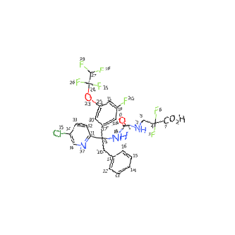 O=C(NCC(F)(F)C(=O)O)NC(Cc1ccccc1)(c1cc(F)cc(OC(F)(F)C(F)F)c1)c1ccc(Cl)cn1